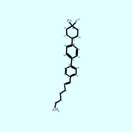 CCCCCC=Cc1ccc(-c2ccc(C3CCC(F)(F)CC3)cc2)cc1